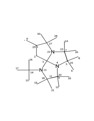 [CH2]CCC(N(C(C)(C)C)C(C)(C)C)(N(C(C)(C)C)C(C)(C)C)N(C(C)(C)C)C(C)(C)C